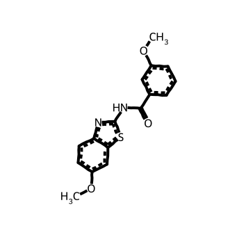 COc1cccc(C(=O)Nc2nc3ccc(OC)cc3s2)c1